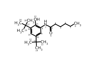 CCCCCC(=O)Nc1cc(C(C)(C)C)cc(C(C)(C)C)c1O